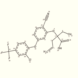 C=CCC(CC)(Oc1cc(Oc2ccc(C(F)(F)F)cc2Cl)ccc1C#N)C(=O)O